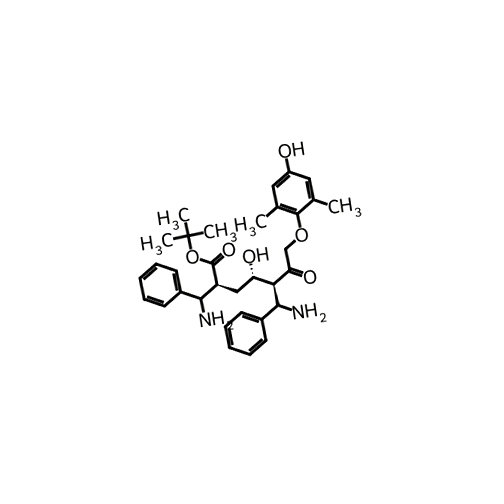 Cc1cc(O)cc(C)c1OCC(=O)[C@@H](C(N)c1ccccc1)[C@@H](O)C[C@H](C(=O)OC(C)(C)C)C(N)c1ccccc1